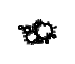 C[C@H]1C/C=C/C[C@@H]2CC[C@H]2CN2Cc3ccc(Cl)cc3CCCCOc3ccc(cc32)C(=O)/N=[SH](=O)\C1